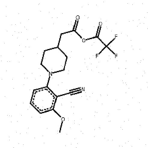 COc1cccc(N2CCC(CC(=O)OC(=O)C(F)(F)F)CC2)c1C#N